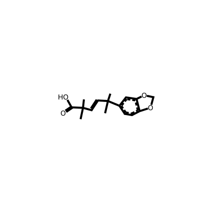 CC(C)(/C=C/C(C)(C)c1ccc2c(c1)OCO2)C(=O)O